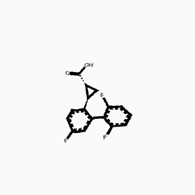 O=C(O)[C@@H]1C[C@H]1c1ccc(F)cc1-c1c(F)cccc1F